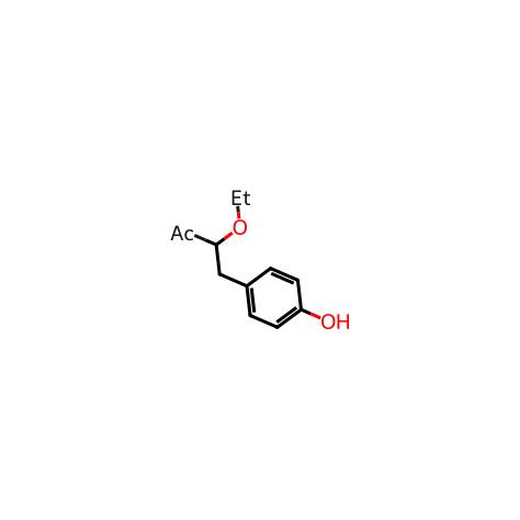 CCOC(Cc1ccc(O)cc1)C(C)=O